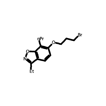 CCCc1c(OCCCBr)ccc2c(CC)noc12